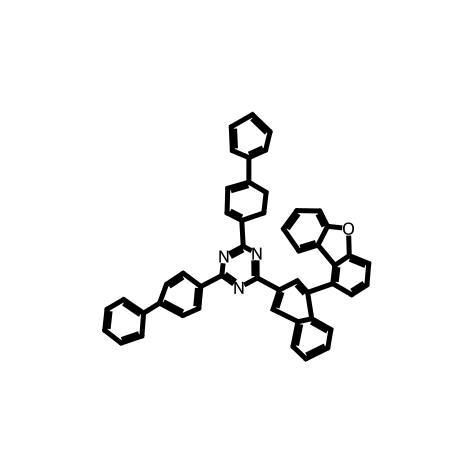 C1=C(c2ccccc2)CCC(c2nc(-c3ccc(-c4ccccc4)cc3)nc(-c3cc(-c4cccc5oc6ccccc6c45)c4ccccc4c3)n2)=C1